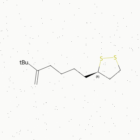 C=C(CCCC[C@@H]1CCSS1)C(C)(C)C